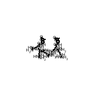 Cc1cc(=O)oc2cc(NC(=O)C(CCCNC(=N)N)NC(=O)C(CCCNC(=N)N)NC(=O)C(N)CCCNC(=N)N)ccc12.Cc1cc(=O)oc2cc(NC(=O)C(CCCNC(=N)N)NC(=O)C(N)CCCNC(=N)N)ccc12